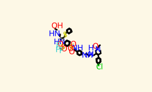 CC(=O)N1CCC(c2ccc(Cl)cc2)=C(CNCCNc2ccc(C(=O)NS(=O)(=O)c3ccc(N[C@H](CCNCCO)CSc4ccccc4)c(S(=O)(=O)C(F)(F)F)c3)cc2)C1